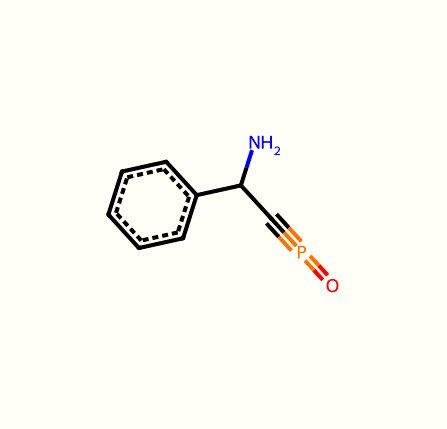 NC(C#P=O)c1ccccc1